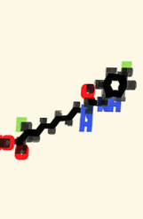 O=C(NCCCCC/C=C(\F)C(=O)O)Nc1ccc(F)cc1